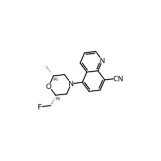 C[C@@H]1CN(c2ccc(C#N)c3ncccc23)C[C@H](CF)O1